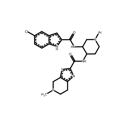 CC(=O)N1CCC(NC(=O)c2nc3c(s2)CN(C)CC3)C(NC(=O)c2cc3cc(Cl)ccc3[nH]2)C1